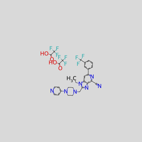 CCn1c(CN2CCN(c3ccncc3)CC2)nc2c(C#N)nc(-c3cccc(C(F)(F)F)c3)cc21.O=C(O)C(F)(F)F.O=C(O)C(F)(F)F